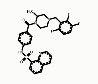 CC1CN(Cc2c(F)ccc(F)c2F)CCN1C(=O)c1ccc(NS(=O)(=O)c2cccc3cccnc23)cc1